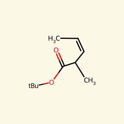 C/C=C\C(C)C(=O)OC(C)(C)C